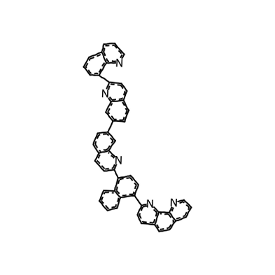 c1cnc2c(-c3ccc4ccc(-c5ccc6ccc(-c7ccc(-c8ccc9ccc%10cccnc%10c9n8)c8ccccc78)nc6c5)cc4n3)cccc2c1